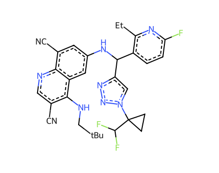 CCc1nc(F)ccc1C(Nc1cc(C#N)c2ncc(C#N)c(NCC(C)(C)C)c2c1)c1cn(C2(C(F)F)CC2)nn1